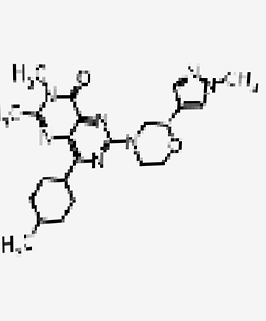 Cc1nc2c(C3CCC(C)CC3)nc(N3CCO[C@H](c4cnn(C)c4)C3)nc2c(=O)n1C